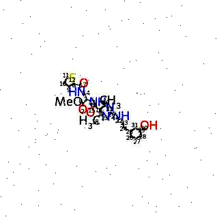 COC(=O)C(CNC(=O)c1cccs1)NC(=O)c1c(C)nc(NCC=Cc2cccc(O)c2)nc1C